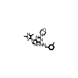 Cc1cccc(/C=N/Nc2nc(N3CCOCC3)nc3c2ncn3-c2sc(C)nc2C)c1